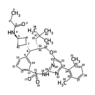 CCC(=O)N[C@H]1C[C@H](C2c3cccc(c3)S(=O)(=O)Nc3nc(cc(-c4c(C)cccc4C)n3)OC[C@H]2CC(C)(C)C)C1